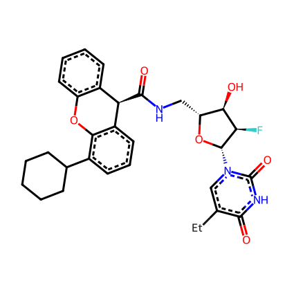 CCc1cn([C@@H]2O[C@H](CNC(=O)[C@@H]3c4ccccc4Oc4c(C5CCCCC5)cccc43)[C@@H](O)[C@H]2F)c(=O)[nH]c1=O